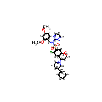 COc1ccc(CN(c2ncccn2)S(=O)(=O)c2cc3c(cc2F)C(N2CCCC(c4ccccc4)C2)CCO3)c(OC)c1